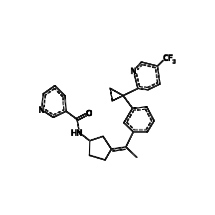 CC(=C1CCC(NC(=O)c2cccnc2)C1)c1cccc(C2(c3ccc(C(F)(F)F)cn3)CC2)c1